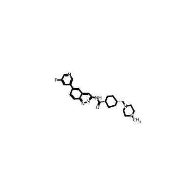 CN1CCN(C[C@H]2CC[C@H](C(=O)Nc3cc4cc(-c5cncc(F)c5)ccc4nn3)CC2)CC1